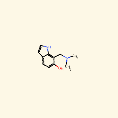 CN(C)Cc1c(O)ccc2cc[nH]c12